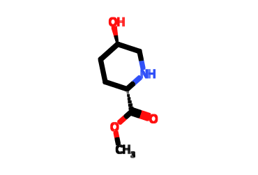 COC(=O)[C@@H]1CC[C@@H](O)CN1